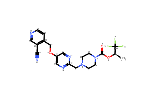 C[C@@H](OC(=O)N1CCN(Cc2ncc(OCc3ccncc3C#N)cn2)CC1)C(F)(F)F